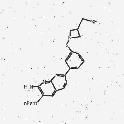 CCCCCc1cc2ccc(-c3cccc(SN4CC(CN)C4)c3)cc2nc1N